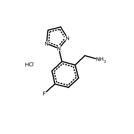 Cl.NCc1ccc(F)cc1-n1nccn1